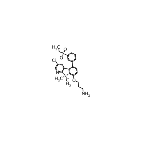 CCS(=O)(=O)c1cccc(-c2ccc(OCCCN)c3c2-c2cc(Cl)cnc2[N+]3(C)C)c1